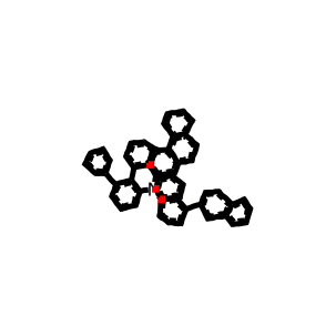 c1ccc(-c2ccccc2-c2c(-c3ccccc3)cccc2N(c2cccc(-c3ccc4ccccc4c3)c2)c2ccc3c(ccc4ccccc43)c2)cc1